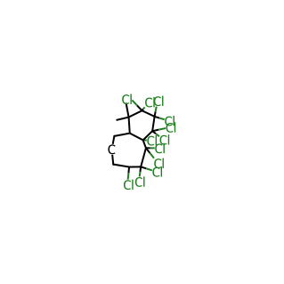 CC1(C)C2CCCC(Cl)C(Cl)(Cl)C(Cl)(Cl)C2(Cl)C(Cl)(Cl)C(Cl)(Cl)C1(Cl)Cl